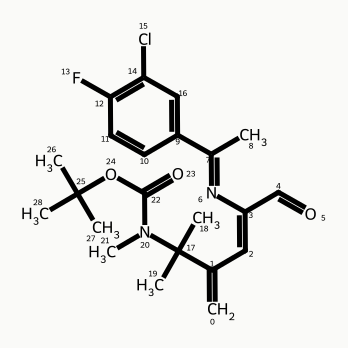 C=C(/C=C(C=O)\N=C(/C)c1ccc(F)c(Cl)c1)C(C)(C)N(C)C(=O)OC(C)(C)C